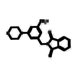 O=C(O)c1cc(CN2C(=O)c3ccccc3C2=O)cc(N2CCOCC2)c1